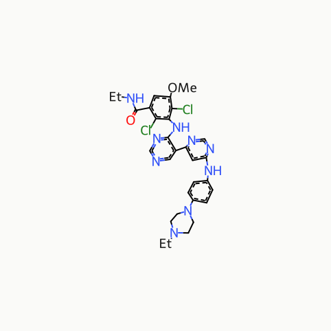 CCNC(=O)c1cc(OC)c(Cl)c(Nc2ncncc2-c2cc(Nc3ccc(N4CCN(CC)CC4)cc3)ncn2)c1Cl